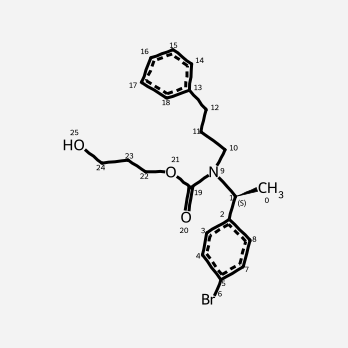 C[C@@H](c1ccc(Br)cc1)N(CCCc1ccccc1)C(=O)OCCCO